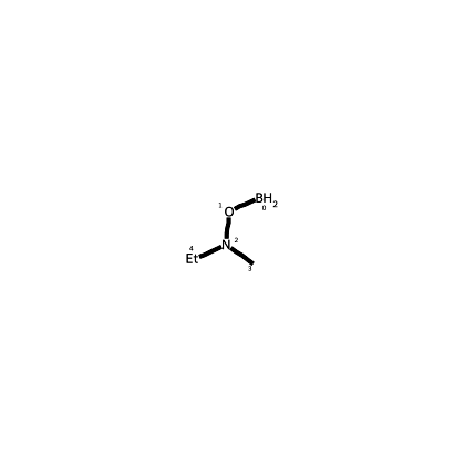 BON(C)CC